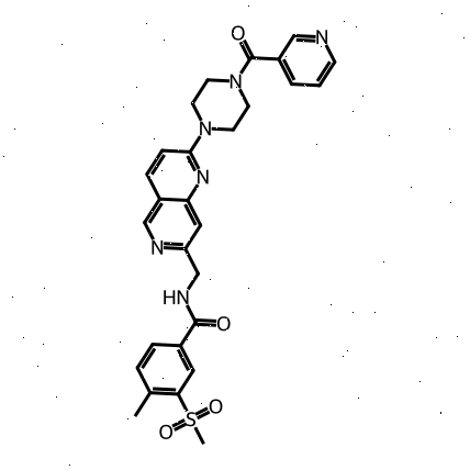 Cc1ccc(C(=O)NCc2cc3nc(N4CCN(C(=O)c5cccnc5)CC4)ccc3cn2)cc1S(C)(=O)=O